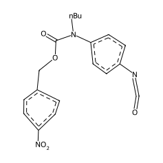 CCCCN(C(=O)OCc1ccc([N+](=O)[O-])cc1)c1ccc(N=C=O)cc1